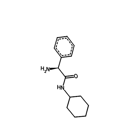 N[C@H](C(=O)NC1CCCCC1)c1ccccc1